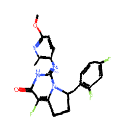 COc1ccc(/N=c2\[nH]c(=O)c(F)c3n2C(c2ccc(F)cc2F)CC3)c(C)n1